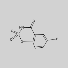 O=C1NS(=O)(=O)Oc2ccc(F)cc21